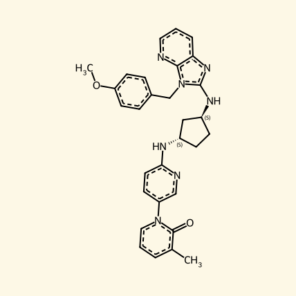 COc1ccc(Cn2c(N[C@H]3CC[C@H](Nc4ccc(-n5cccc(C)c5=O)cn4)C3)nc3cccnc32)cc1